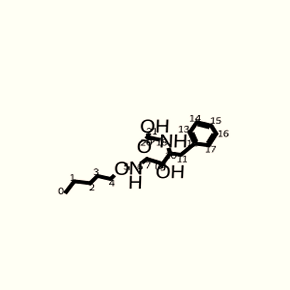 CCCCCONC[C@H](O)C(Cc1ccccc1)NC(=O)O